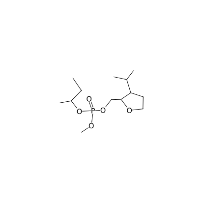 CCC(C)OP(=O)(OC)OCC1OCCC1C(C)C